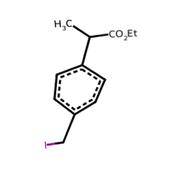 CCOC(=O)C(C)c1ccc(CI)cc1